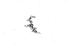 CO[C@H]1C[C@@H](N[C@H]2CCN(c3ccc(C(=O)Nc4cc(F)c5nc(C)cn5c4)c4nn(C)cc34)C2)C1